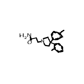 Cc1ccc(C2(c3ccccc3C)CCN(CCC(N)=O)CC2)cc1